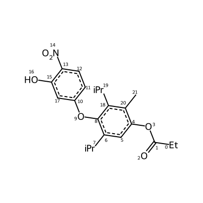 CCC(=O)Oc1cc(C(C)C)c(Oc2ccc([N+](=O)[O-])c(O)c2)c(C(C)C)c1C